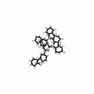 c1ccc(-c2cc(-c3ccc4oc5ccccc5c4c3)nc(-n3c4ccccc4c4ccc5c6ccccc6n(-c6ccccc6)c5c43)n2)cc1